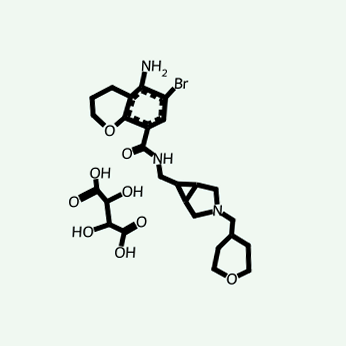 Nc1c(Br)cc(C(=O)NCC2C3CN(CC4CCOCC4)CC23)c2c1CCCO2.O=C(O)C(O)C(O)C(=O)O